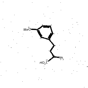 COc1cccc(CCC(N)C(=O)O)c1